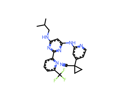 CC(C)CNc1cc(Nc2cc(C3(C#N)CC3)ccn2)nc(-c2cccc(C(F)(F)F)n2)n1